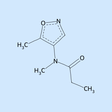 CCC(=O)N(C)c1cnoc1C